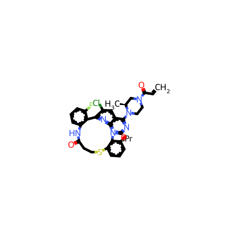 C=CC(=O)N1CCN(c2nc(=O)n3c4nc(c(Cl)cc24)-c2c(F)cccc2NC(=O)CCSc2cccc(C(C)C)c2-3)[C@@H](C)C1